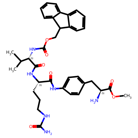 COC(=O)[C@@H](N)Cc1ccc(NC(=O)[C@H](CCCNC(N)=O)NC(=O)[C@@H](NC(=O)OCC2c3ccccc3-c3ccccc32)C(C)C)cc1